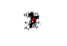 CC[C@H]1CCC[C@H](O[C@H]2CC[C@H](N(C)C)C(C)O2)[C@@H](C)C(=O)C2=C[C@H]3[C@@H]4C[C@H](O[C@@H]5OC(C)[C@H](OC)C(OC)C5OC)C[C@H]4[C@H](Nc4ccc5sccc5c4)[C@@H](O)[C@H]3[C@@H]2CC(=O)O1